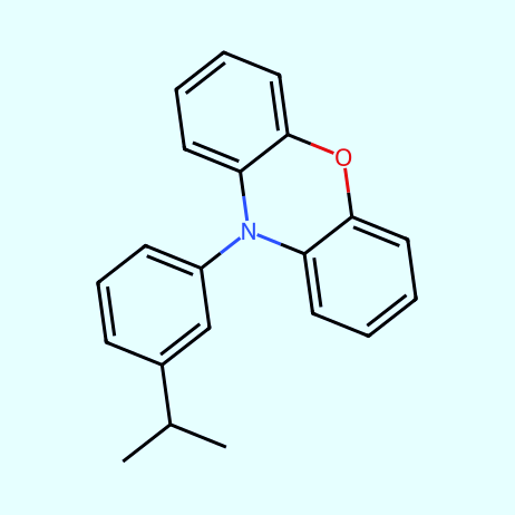 CC(C)c1cccc(N2c3ccccc3Oc3ccccc32)c1